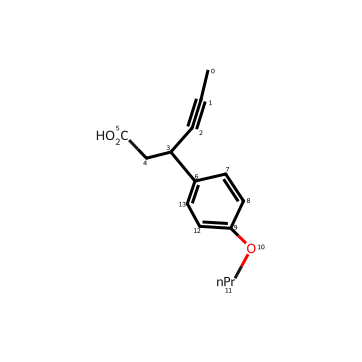 CC#CC(CC(=O)O)c1ccc(OCCC)cc1